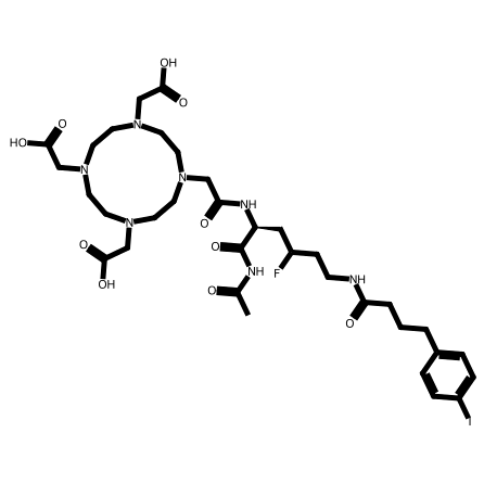 CC(=O)NC(=O)[C@H](CC(F)CCNC(=O)CCCc1ccc(I)cc1)NC(=O)CN1CCN(CC(=O)O)CCN(CC(=O)O)CCN(CC(=O)O)CC1